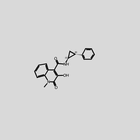 Cn1c(=O)c(O)c(C(=O)N[C@H]2C[C@@H]2c2ccccc2)c2ccccc21